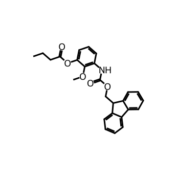 CCCC(=O)Oc1cccc(NC(=O)OCC2c3ccccc3-c3ccccc32)c1OC